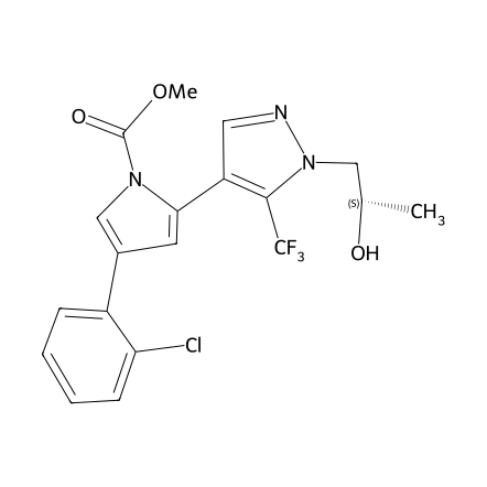 COC(=O)n1cc(-c2ccccc2Cl)cc1-c1cnn(C[C@H](C)O)c1C(F)(F)F